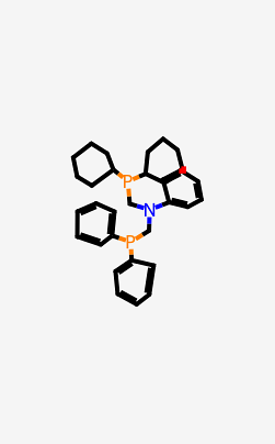 c1ccc(N(CP(c2ccccc2)c2ccccc2)CP(C2CCCCC2)C2CCCCC2)cc1